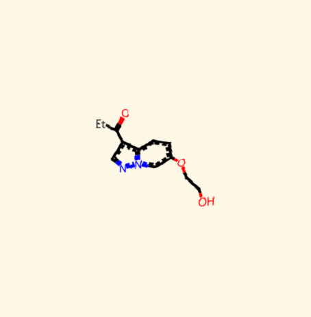 CCC(=O)c1cnn2cc(OCCO)ccc12